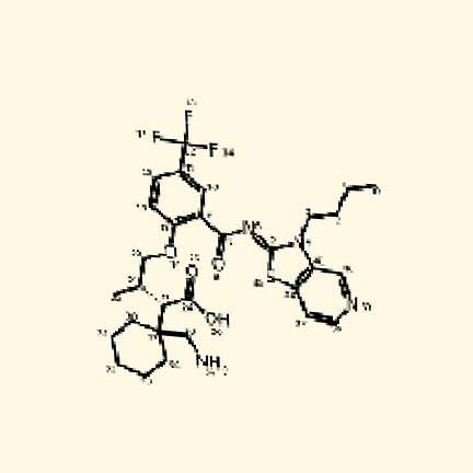 CCCCn1/c(=N/C(=O)c2cc(C(F)(F)F)ccc2OCC(C)[C@H](C(=O)O)C2(CN)CCCCC2)sc2ccncc21